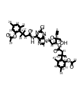 C#C[C@]1(CO)O[C@@H](n2cnc3c(NC(=O)CC(C)(C)c4c(C)cc(C)cc4OC(C)=O)nc(Cl)nc32)C[C@@H]1OC(=O)CC(C)(C)c1c(C)cc(C)cc1OC(C)=O